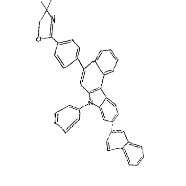 CC1(C)COC(c2ccc(-c3cc4c(c5ccccc35)c3ccc(-c5ccc6ccccc6c5)cc3n4-c3ccccc3)cc2)=N1